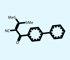 CSC(SC)=C(C#N)C(=O)c1ccc(-c2ccccc2)cc1